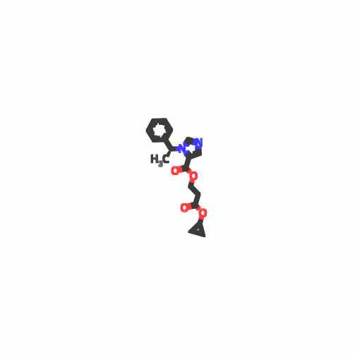 C[C@H](c1ccccc1)n1cncc1C(=O)OCCC(=O)OC1CC1